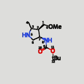 COC[C@@H]1C(C)NC[C@@H]1NC(=O)OC(C)(C)C